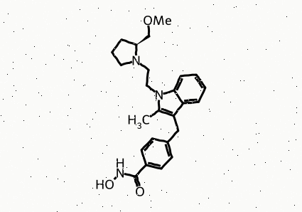 COC[C@@H]1CCCN1CCn1c(C)c(Cc2ccc(C(=O)NO)cc2)c2ccccc21